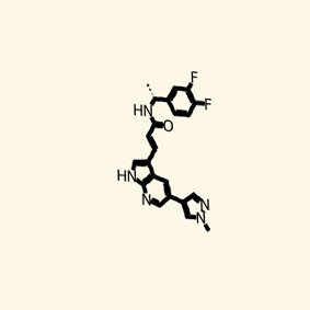 C[C@@H](NC(=O)/C=C/c1c[nH]c2ncc(-c3cnn(C)c3)cc12)c1ccc(F)c(F)c1